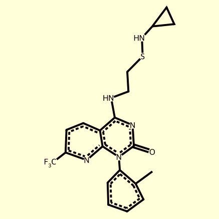 Cc1ccccc1-n1c(=O)nc(NCCSNC2CC2)c2ccc(C(F)(F)F)nc21